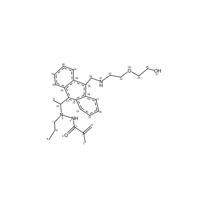 C=C(C)C(=O)NN(CCC)C(C)c1c2ccccc2c(CNCCOCCO)c2ccccc12